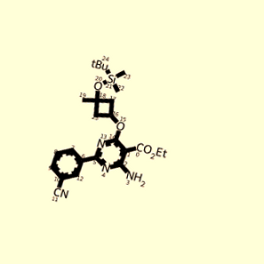 CCOC(=O)c1c(N)nc(-c2cccc(C#N)c2)nc1OC1CC(C)(O[Si](C)(C)C(C)(C)C)C1